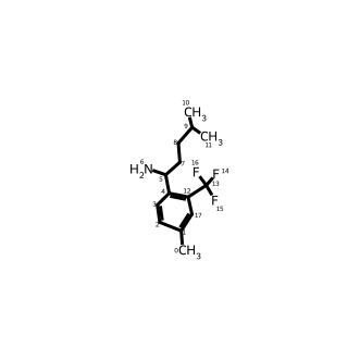 Cc1ccc(C(N)CCC(C)C)c(C(F)(F)F)c1